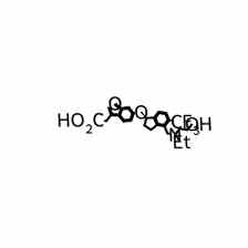 CCN(CCO)Cc1c(C(F)(F)F)ccc2c1CC[C@H]2Oc1ccc2c(CC(=O)O)coc2c1